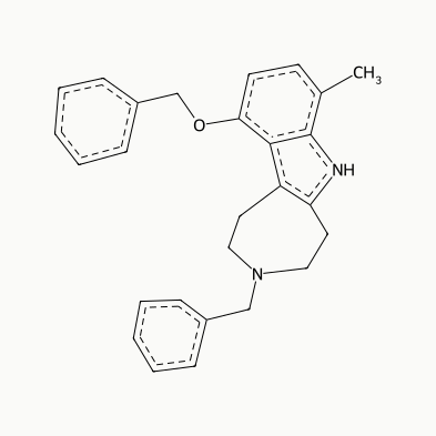 Cc1ccc(OCc2ccccc2)c2c3c([nH]c12)CCN(Cc1ccccc1)CC3